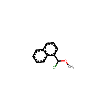 COC(Cl)c1cccc2ccccc12